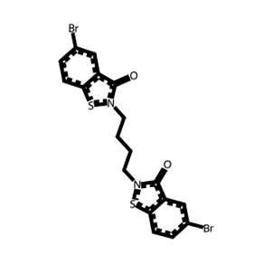 O=c1c2cc(Br)ccc2sn1CCCCn1sc2ccc(Br)cc2c1=O